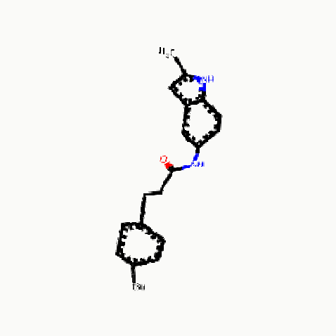 Cc1cc2cc(NC(=O)CCc3ccc(C(C)(C)C)cc3)ccc2[nH]1